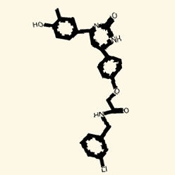 Cc1cc(-c2cc(-c3ccc(OCC(=O)NCc4cccc(Cl)c4)cc3)[nH]c(=O)n2)ccc1O